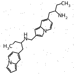 CCC(N)Cc1ccn2cc(CNC(CC)Cc3ccn4cccc4c3)cc2c1